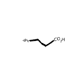 C[C](C)C[CH]C(=O)O